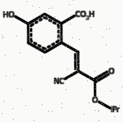 CC(C)OC(=O)/C(C#N)=C/c1ccc(O)cc1C(=O)O